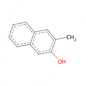 [CH2]c1cc2ccccc2cc1O